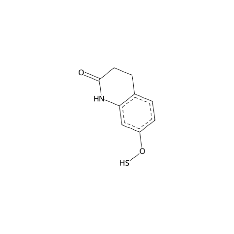 O=C1CCc2ccc(OS)cc2N1